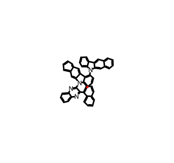 c1ccc2cc3c(cc2c1)c1ccccc1n3-c1cccc2c1c1cc3ccccc3cc1n2-c1nc2ccccc2nc1-c1cccc2ccccc12